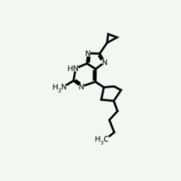 CCCCC1CCC(c2nc(N)[nH]c3nc(C4CC4)nc2-3)C1